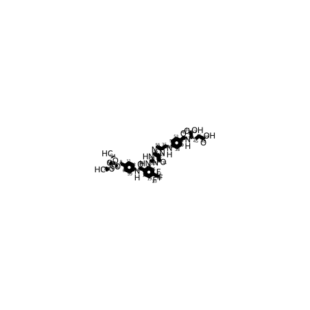 C#COP(=O)(OC#C)OCc1ccc(NC(=O)c2ccc(C(F)(F)F)cc2Nc2nc(=O)c3nc(CNc4ccc(C(=O)N[C@@H](CCC(=O)O)C(=O)O)cc4)cnc3[nH]2)cc1